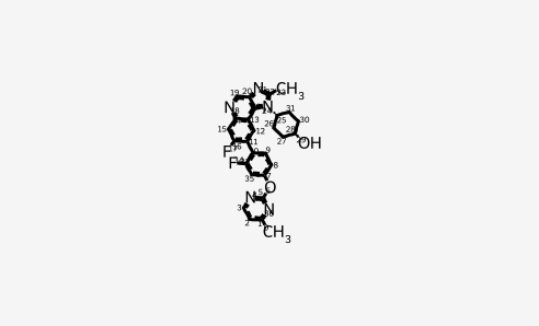 Cc1ccnc(Oc2ccc(-c3cc4c(cc3F)ncc3nc(C)n([C@H]5CC[C@H](O)CC5)c34)c(F)c2)n1